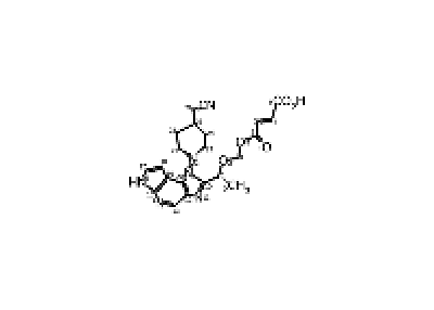 C[C@@H](OCOC(=O)/C=C/C(=O)O)c1nc2cnc3[nH]ccc3c2n1N1CCC(CC#N)CC1